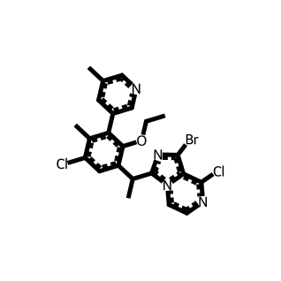 CCOc1c(C(C)c2nc(Br)c3c(Cl)nccn23)cc(Cl)c(C)c1-c1cncc(C)c1